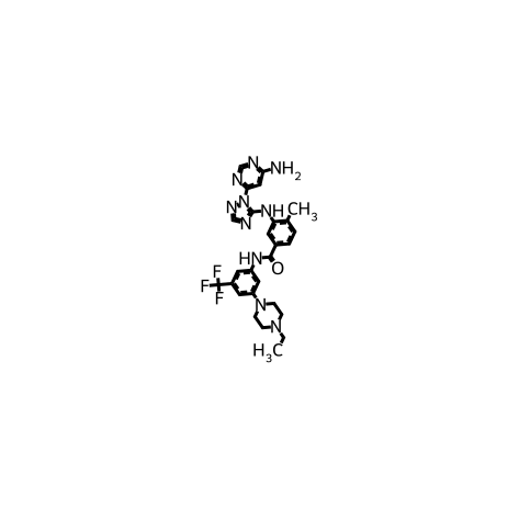 CCN1CCN(c2cc(NC(=O)c3ccc(C)c(Nc4ncnn4-c4cc(N)ncn4)c3)cc(C(F)(F)F)c2)CC1